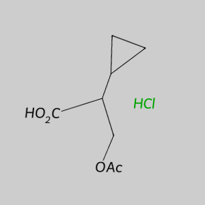 CC(=O)OCC(C(=O)O)C1CC1.Cl